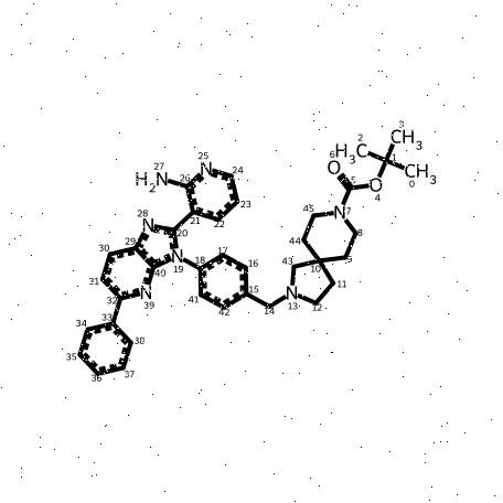 CC(C)(C)OC(=O)N1CCC2(CCN(Cc3ccc(-n4c(-c5cccnc5N)nc5ccc(-c6ccccc6)nc54)cc3)C2)CC1